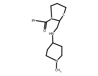 CC(C)C(=O)N1CCCCC1CNC1CCN(C)CC1